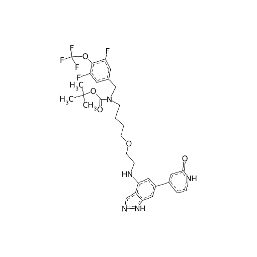 CC(C)(C)OC(=O)N(CCCCOCCNc1cc(-c2cc[nH]c(=O)c2)cc2[nH]ncc12)Cc1cc(F)c(OC(F)(F)F)c(F)c1